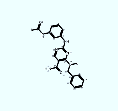 CC(=O)Nc1cccc(Nc2ncc(C(N)=O)c(N(C)Cc3ccccc3)n2)c1